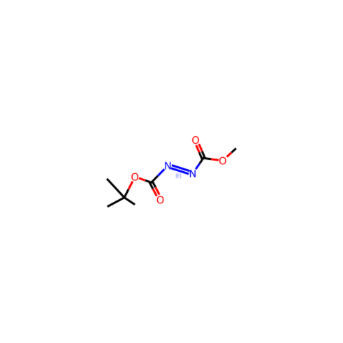 COC(=O)/N=N/C(=O)OC(C)(C)C